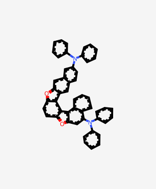 c1ccc(N(c2ccccc2)c2ccc3cc4c(cc3c2)oc2ccc3oc5cc(N(c6ccccc6)c6ccccc6)c6ccccc6c5c3c24)cc1